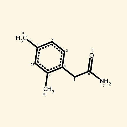 Cc1ccc([CH]C(N)=O)c(C)c1